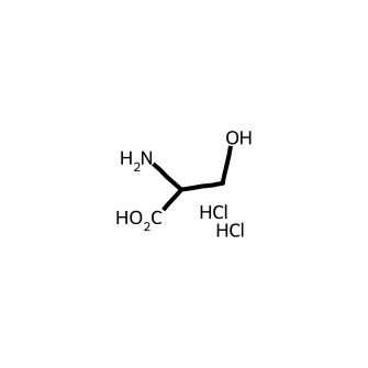 Cl.Cl.NC(CO)C(=O)O